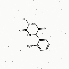 COC(=O)C(NC(=O)OC(C)(C)C)c1ccccc1N